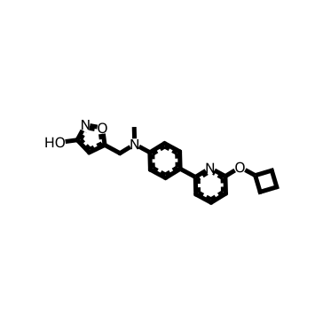 CN(Cc1cc(O)no1)c1ccc(-c2cccc(OC3CCC3)n2)cc1